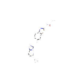 O=C(CCl)Nc1nc2ccc(Sc3nnc4ccc(C5CC5)nn34)cc2s1